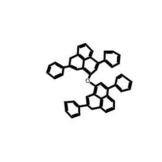 C1=C(c2ccccc2)Cc2cccc3c(-c4ccccc4)cc(Oc4cc(-c5ccccc5)c5cccc6c5c4C=C(c4ccccc4)C6)c1c23